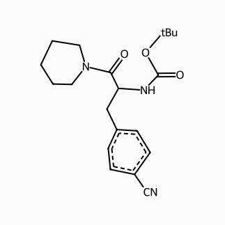 CC(C)(C)OC(=O)NC(Cc1ccc(C#N)cc1)C(=O)N1CCCCC1